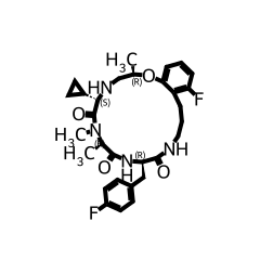 C[C@@H]1CN[C@@H](C2CC2)C(=O)N(C)[C@H](C)C(=O)N[C@H](Cc2ccc(F)cc2)C(=O)NCCCc2c(F)cccc2O1